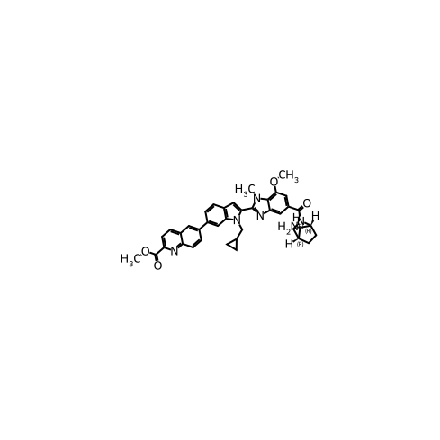 COC(=O)c1ccc2cc(-c3ccc4cc(-c5nc6cc(C(=O)N7C[C@H]8CC[C@@H]7[C@@H]8N)cc(OC)c6n5C)n(CC5CC5)c4c3)ccc2n1